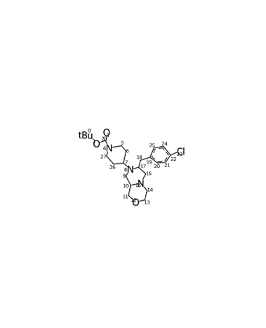 CC(C)(C)OC(=O)N1CCC(N2CC3COCCN3CC2Cc2ccc(Cl)cc2)CC1